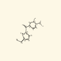 C=C(c1ccc(OC)c(C)c1)c1ccc(CC)s1